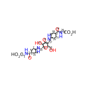 O=C(O)CNC(=O)c1ccc(NCc2oc(CO)c(CNc3ccc(C(=O)NCC(=O)O)cc3)c(=O)c2O)cc1